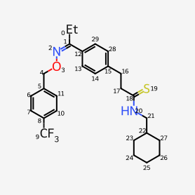 CCC(=NOCc1ccc(C(F)(F)F)cc1)c1ccc(CCC(=S)NCC2CCCCC2)cc1